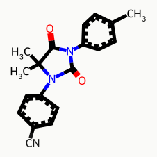 Cc1ccc(N2C(=O)N(c3ccc(C#N)cc3)C(C)(C)C2=O)cc1